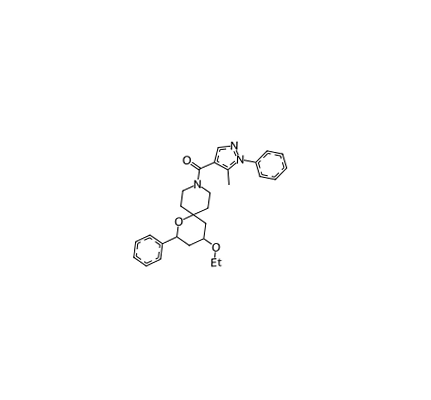 CCOC1CC(c2ccccc2)OC2(CCN(C(=O)c3cnn(-c4ccccc4)c3C)CC2)C1